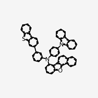 c1cc(-c2ccc3c(c2)sc2ccccc23)cc(N(c2ccc(-n3c4ccccc4c4ccccc43)cc2)c2cccc3oc4c5ccccc5ccc4c23)c1